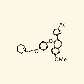 COc1ccc2c(Oc3ccc(OCCN4CCCCC4)cc3)c(-c3ccc(C(C)=O)s3)ccc2c1